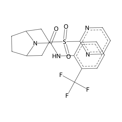 O=C(Nc1ccccc1C(F)(F)F)N1C2CCC1CC(S(=O)(=O)c1ncccn1)C2